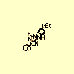 CCOc1ccc(Nc2nc(F)nc3c2ncn3C2CCCCO2)cc1